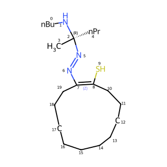 CCCCN[C@@](C)(CCC)N=N/C1=C(\S)CCCCCCCCCC1